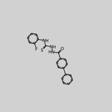 O=C(NNC(=S)Nc1ccccc1F)c1ccc(-c2ccccc2)cc1